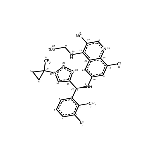 Cc1c(Br)cccc1[C@H](Nc1cc(Cl)c2ncc(C#N)c(NCC(C)(C)C)c2c1)c1cn(C2(C(F)(F)F)CC2)nn1